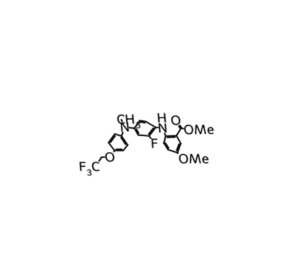 COC(=O)c1cc(OC)ccc1Nc1ccc(N(C)c2ccc(OCC(F)(F)F)cc2)cc1F